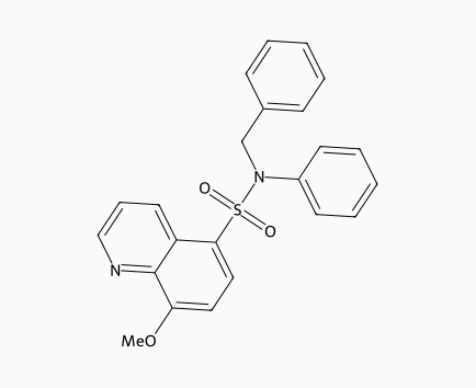 COc1ccc(S(=O)(=O)N(Cc2ccccc2)c2ccccc2)c2cccnc12